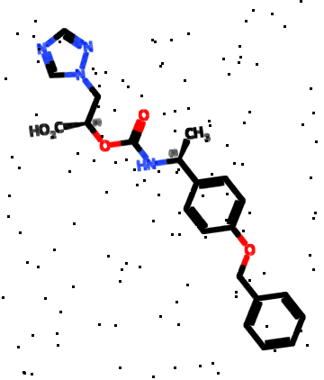 C[C@H](NC(=O)O[C@H](Cn1cncn1)C(=O)O)c1ccc(OCc2ccccc2)cc1